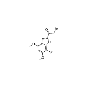 COc1cc(OC)c2cc(C(=O)CBr)oc2c1Br